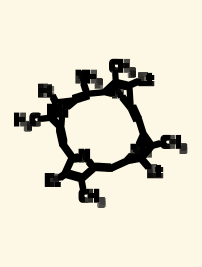 CCC1=C(C)c2cc3[nH]c(cc4nc(c(N)c5[nH]c(cc1n2)c(C)c5CC)C(C)=C4CC)c(C)c3CC